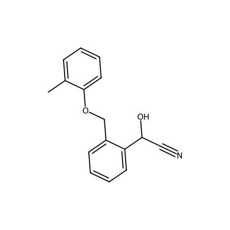 Cc1ccccc1OCc1ccccc1C(O)C#N